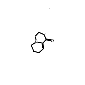 O=C1CCCN2CCCC=C12